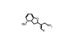 CC(C)(C)N1C=CC=C2OC(/C(=C/F)CN)CC21